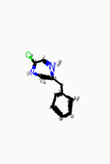 Clc1cnc(Cc2ccccc2)cn1